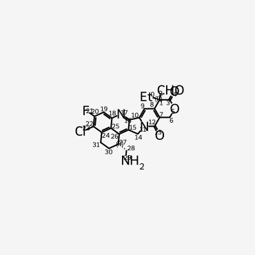 CC[C@@]1(C=O)C(=O)OCc2c1cc1n(c2=O)Cc2c-1nc1cc(F)c(Cl)c3c1c2[C@H](CN)CC3